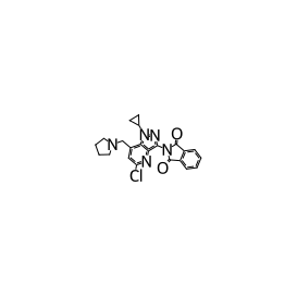 O=C1c2ccccc2C(=O)N1c1nn(C2CC2)c2c(CN3CCCC3)cc(Cl)nc12